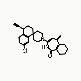 C#CC1CCC2(CCN(C3=CC(=C)C4=C(CCCC4)C(=O)N3)CC2)c2cc(Cl)ccc21